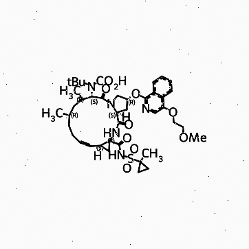 COCCOc1cnc(O[C@@H]2C[C@H]3C(=O)N[C@]4(C(=O)NS(=O)(=O)C5(C)CC5)C[C@H]4C=CCC[C@@H](C)C[C@@H](C)[C@H](N(C(=O)O)C(C)(C)C)C(=O)N3C2)c2ccccc12